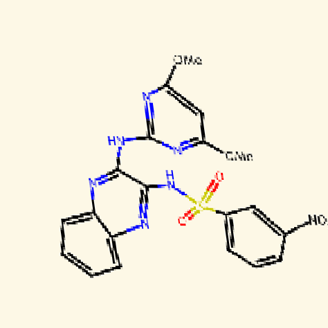 COc1cc(OC)nc(Nc2nc3ccccc3nc2NS(=O)(=O)c2cccc([N+](=O)[O-])c2)n1